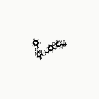 Fc1cc(CCOc2nc(OCc3ccccc3)ncc2F)ccc1Oc1ccc(C(F)(F)F)nc1